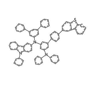 c1ccc(-c2cc(-c3ccccc3)cc(N(c3cc(-c4ccc(-c5ccc6sc7ccccc7c6c5)cc4)cc(N(c4ccccc4)c4ccccc4)c3)c3ccc4c(c3)c3ccccc3n4-c3ccccc3)c2)cc1